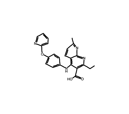 CCc1nc2nc(C)ccc2c(Nc2ccc(Oc3ccccn3)cc2)c1C(=O)O